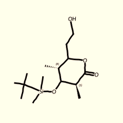 C[C@@H]1C(CCO)OC(=O)[C@@H](C)C1O[Si](C)(C)C(C)(C)C